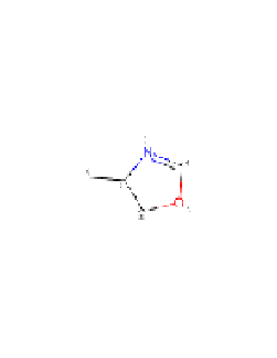 CC1[CH]O[C]=N1